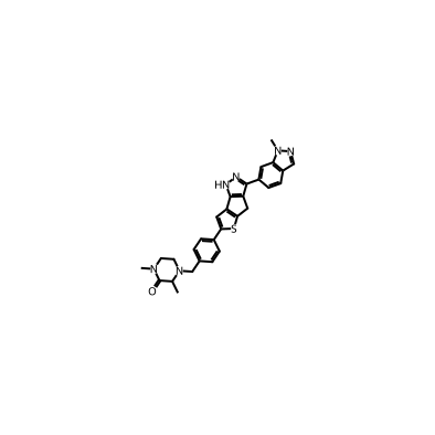 CC1C(=O)N(C)CCN1Cc1ccc(-c2cc3c(s2)Cc2c(-c4ccc5cnn(C)c5c4)n[nH]c2-3)cc1